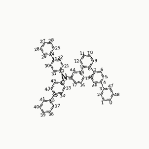 c1ccc(-c2ccc(-c3ccccc3-c3cccc(N(c4ccc(-c5ccccc5)cc4)c4ccc(-c5ccccc5)cc4)c3)cc2)cc1